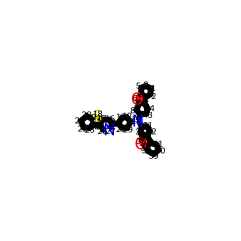 c1ccc2c(c1)oc1cc(N(c3ccc(-c4cc5sc6ccccc6c5cn4)cc3)c3ccc4c(c3)oc3ccccc34)ccc12